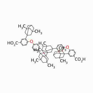 CC12CC3CC(C)(C1)CC(c1cc(C(=O)O)ccc1Oc1ccc(C45CC6(C)CC(C)(C4)CC(C47CC8(C)CC(C)(CC(c9ccc(Oc%10ccc(C(=O)O)cc%10C%10%11CC%12CC(C)(CC(C)(C%12)C%10)C%11)cc9)(C8)C4)C7)(C6)C5)cc1)(C3)C2